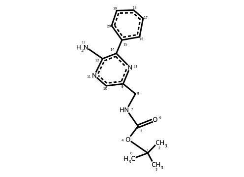 CC(C)(C)OC(=O)NCc1cnc(N)c(-c2ccccc2)n1